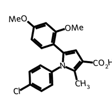 COc1ccc(-c2cc(C(=O)O)c(C)n2-c2ccc(Cl)cc2)c(OC)c1